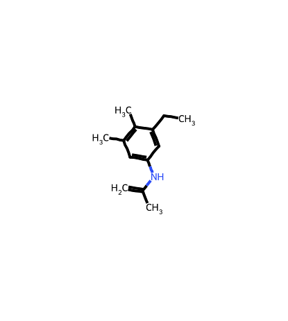 C=C(C)Nc1cc(C)c(C)c(CC)c1